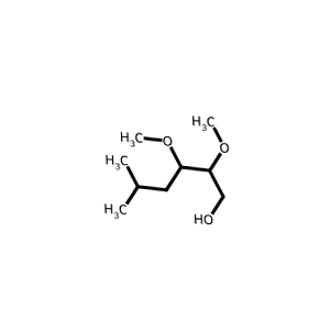 COC(CO)C(CC(C)C)OC